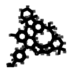 Cc1cc2c3c(c1)N1c4c5cc(cc4C4(C)CCCCC14C)C(C)(C)CC1(C)CCC(C)(C)c4cc6oc(c(c6cc41)B53)N2c1ccc(C(C)(C)C)cc1